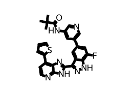 CC(C)(C)C(=O)Nc1cncc(-c2cc(F)c3[nH]nc(-c4nc5c(-c6cccs6)ccnc5[nH]4)c3c2)c1